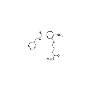 COC(=O)CCCOc1cc(C(=O)OCc2ccccc2)ccc1[N+](=O)[O-]